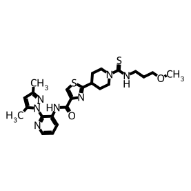 COCCCNC(=S)N1CCC(c2nc(C(=O)Nc3cccnc3-n3nc(C)cc3C)cs2)CC1